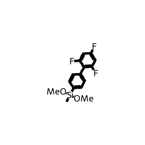 CO[Si](C)(OC)c1ccc(-c2c(F)cc(F)cc2F)cc1